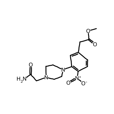 COC(=O)Cc1ccc([N+](=O)[O-])c(N2CCN(CC(N)=O)CC2)c1